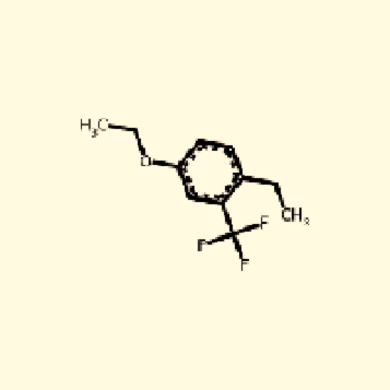 CCOc1ccc(CC)c(C(F)(F)F)c1